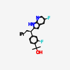 CC(C)C[C@H](c1ccc(C(C)(C)O)c(F)c1)c1cc2cc(F)cnc2[nH]1